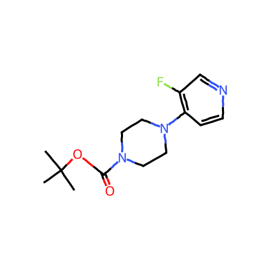 CC(C)(C)OC(=O)N1CCN(c2ccncc2F)CC1